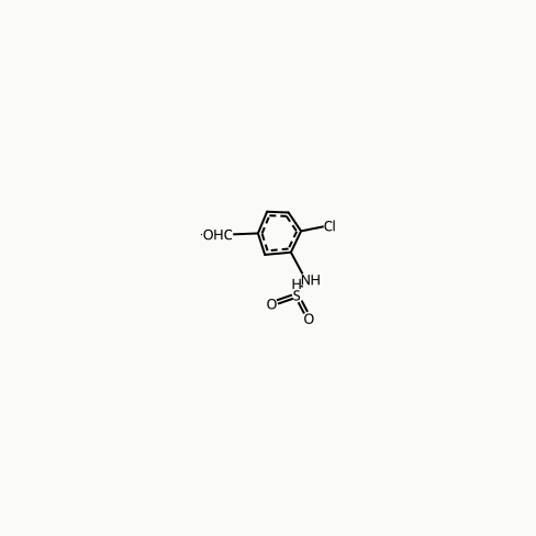 O=[C]c1ccc(Cl)c(N[SH](=O)=O)c1